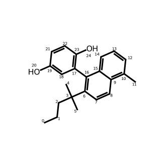 CCCC(C)(C)c1ccc2c(C)cccc2c1-c1cc(O)ccc1O